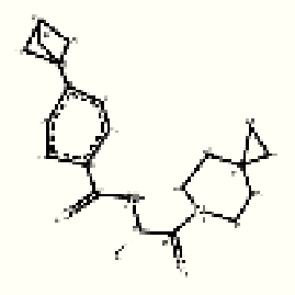 C[C@H](NC(=O)c1ccc(C23CC(C2)C3)cc1)C(=O)N1CCC2(CC1)CC2